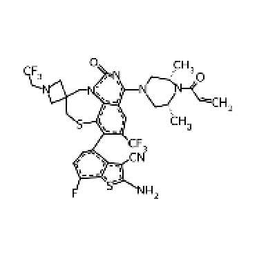 C=CC(=O)N1[C@H](C)CN(c2nc(=O)n3c4c(c(-c5ccc(F)c6sc(N)c(C#N)c56)c(C(F)(F)F)cc24)SCC2(CN(CC(F)(F)F)C2)C3)C[C@@H]1C